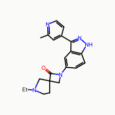 CCN1CCC2(C1)CN(c1ccc3[nH]nc(-c4ccnc(C)c4)c3c1)C2=O